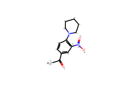 CC(=O)c1ccc(N2CCCCC2)c([N+](=O)[O-])c1